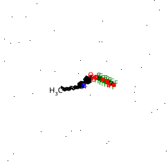 CCCCCCCCCc1ccc(-c2ccc(C(=O)OCC(F)(F)C(F)(F)C(F)(F)C(F)(F)C(F)(F)C(F)(F)C(F)(F)C(F)F)cc2)nc1